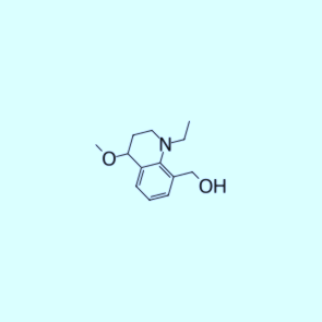 CCN1CCC(OC)c2cccc(CO)c21